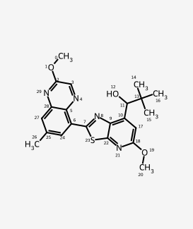 COc1cnc2c(-c3nc4c(C(O)C(C)(C)C)cc(OC)nc4s3)cc(C)cc2n1